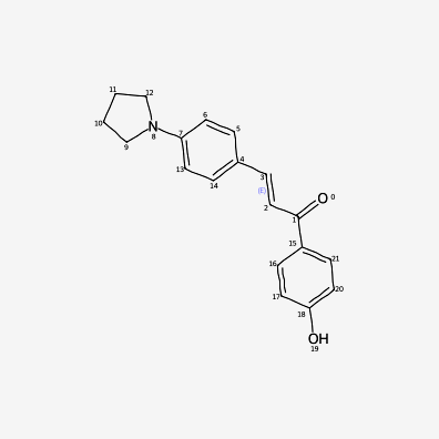 O=C(/C=C/c1ccc(N2CCCC2)cc1)c1ccc(O)cc1